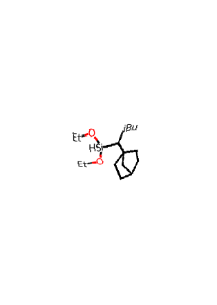 CCO[SiH](OCC)C(C(C)CC)C12CCC(CC1)C2